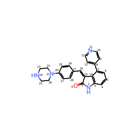 O=C1Nc2cccc(-c3ccncc3)c2C1=Cc1ccc(N2CCNCC2)cc1